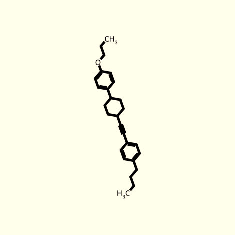 CCCCc1ccc(C#CC2CCC(c3ccc(OCCC)cc3)CC2)cc1